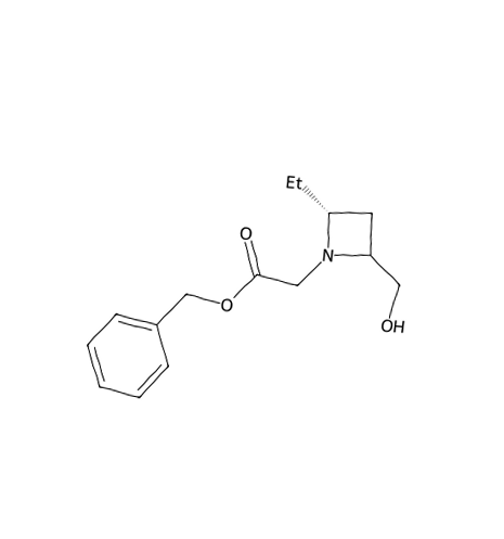 CC[C@@H]1CC(CO)N1CC(=O)OCc1ccccc1